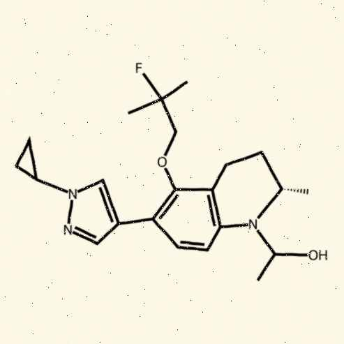 CC(O)N1c2ccc(-c3cnn(C4CC4)c3)c(OCC(C)(C)F)c2CC[C@@H]1C